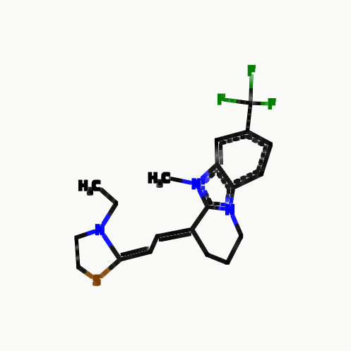 CCN1CCSC1=CC=C1CCCn2c1[n+](C)c1cc(C(F)(F)F)ccc12